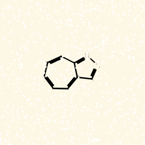 c1ccc2cnnc-2cc1